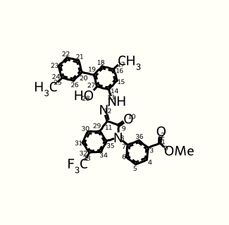 COC(=O)c1cccc(N2C(=O)C(=NNc3cc(C)cc(-c4cccc(C)c4)c3O)c3ccc(C(F)(F)F)cc32)c1